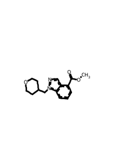 COC(=O)c1cccc2c1cnn2CC1CCOCC1